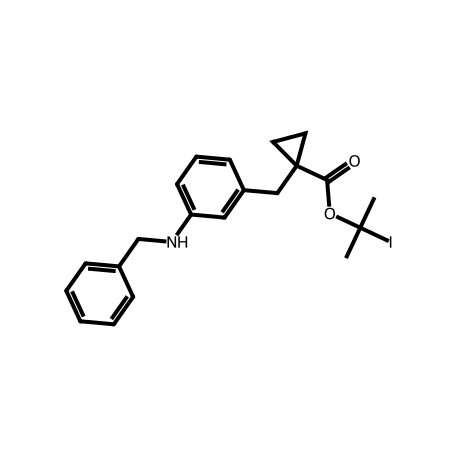 CC(C)(I)OC(=O)C1(Cc2cccc(NCc3ccccc3)c2)CC1